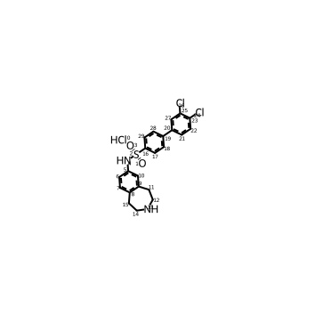 Cl.O=S(=O)(Nc1ccc2c(c1)CCNCC2)c1ccc(-c2ccc(Cl)c(Cl)c2)cc1